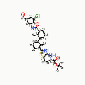 Cc1c(-c2nc3cc(C=O)cc(Cl)c3o2)cccc1-c1cccc(-c2nc3c(s2)CCC(C(=O)OC(C)(C)C)N3)c1C